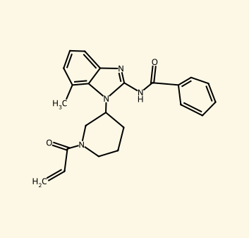 C=CC(=O)N1CCCC(n2c(NC(=O)c3ccccc3)nc3cccc(C)c32)C1